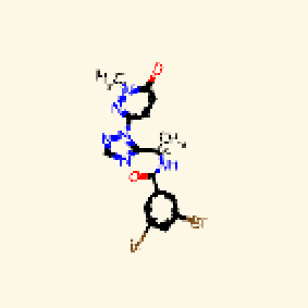 C[C@H](NC(=O)c1cc(Br)cc(Br)c1)c1ncnn1-c1ccc(=O)n(C)n1